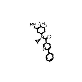 N=CC1=C(N)CCC(N(C(=O)C2C=NC(C3C=CC=CC3)=CC2)C2CC2)C1